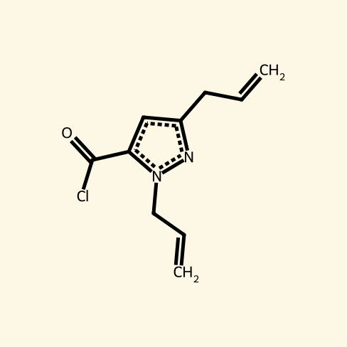 C=CCc1cc(C(=O)Cl)n(CC=C)n1